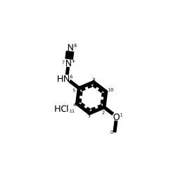 COc1ccc(N[N+]#N)cc1.Cl